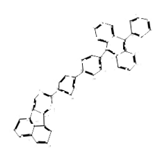 c1ccc(-c2c3ccccc3c(-c3ccc(-c4ccc(-c5ncc6c(n5)-c5cccc7cccc-6c57)cc4)cc3)c3ccccc23)cc1